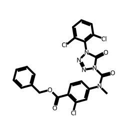 CN(C(=O)n1nnn(-c2c(Cl)cccc2Cl)c1=O)c1ccc(C(=O)OCc2ccccc2)c(Cl)c1